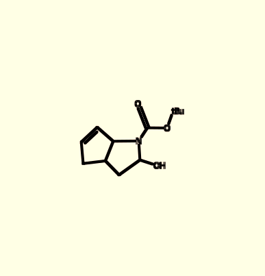 CC(C)(C)OC(=O)N1C(O)CC2CC=CC21